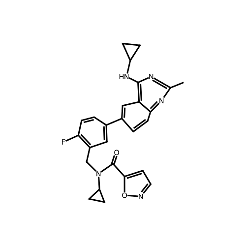 Cc1nc(NC2CC2)c2cc(-c3ccc(F)c(CN(C(=O)c4ccno4)C4CC4)c3)ccc2n1